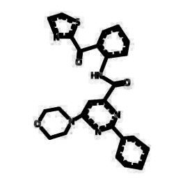 O=C(Nc1ccccc1C(=O)c1nccs1)c1cc(N2CCOCC2)nc(-c2ccccc2)n1